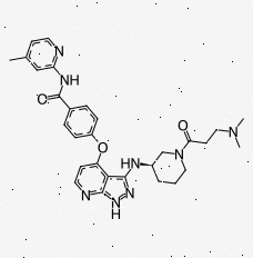 Cc1ccnc(NC(=O)c2ccc(Oc3ccnc4[nH]nc(N[C@@H]5CCCN(C(=O)CCN(C)C)C5)c34)cc2)c1